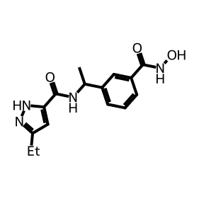 CCc1cc(C(=O)NC(C)c2cccc(C(=O)NO)c2)[nH]n1